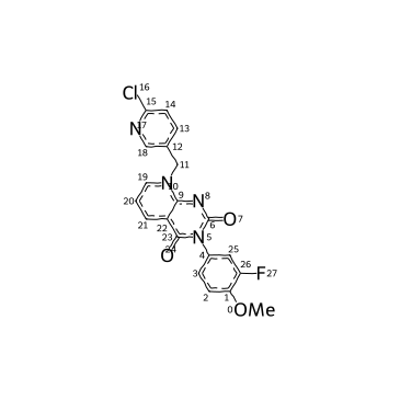 COc1ccc(-n2c(=O)nc3n(Cc4ccc(Cl)nc4)cccc-3c2=O)cc1F